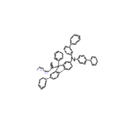 C=C(/C=C\C=C/C)C1(c2ccccc2)c2cc(-c3ccccc3)ccc2-c2ccc(N(c3ccc(-c4ccccc4)cc3)c3cccc(-c4ccccc4)c3)cc21